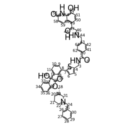 O=C(NCc1ccc(-c2cccc(C(O)(C(=O)OC[C@H]3CCCN(Cc4ccccc4)C3)c3ccccc3)c2)s1)c1ccc(CNCC(O)c2ccc(O)c3[nH]c(=O)ccc23)cc1